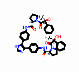 C[C@@](O)(C(=O)N1CCC[C@H]1C(=O)Nc1ccc(-c2nc[nH]c2-c2ccc(NC(=O)[C@@H]3CCCN3C(=O)[C@@](C)(O)c3ccccc3)cc2)cc1)c1ccccc1